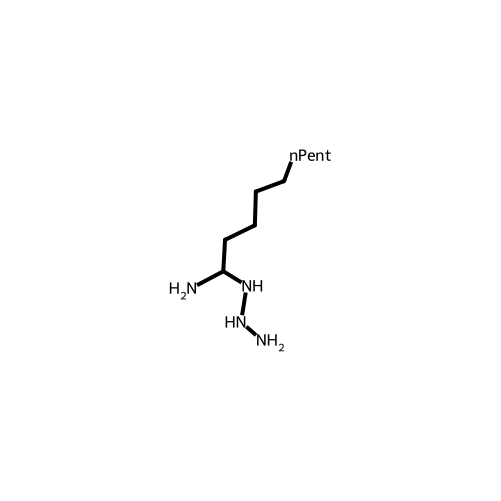 CCCCCCCCCC(N)NNN